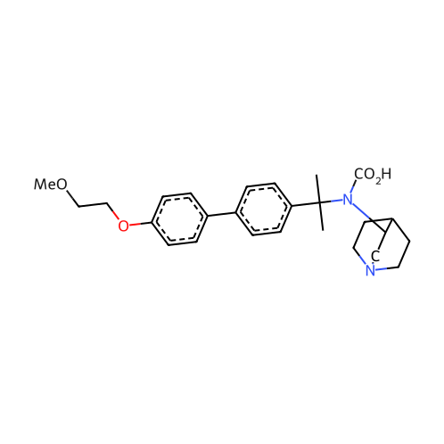 COCCOc1ccc(-c2ccc(C(C)(C)N(C(=O)O)C3CN4CCC3CC4)cc2)cc1